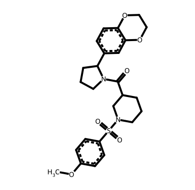 COc1ccc(S(=O)(=O)N2CCCC(C(=O)N3CCCC3c3ccc4c(c3)OCCO4)C2)cc1